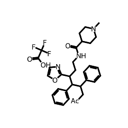 CC(=O)CC(c1ccccc1)C(c1ccccc1)C(CCNC(=O)C1CCN(C)CC1)c1ncco1.O=C(O)C(F)(F)F